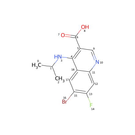 CC(C)Nc1c(C(=O)O)cnc2cc(F)c(Br)cc12